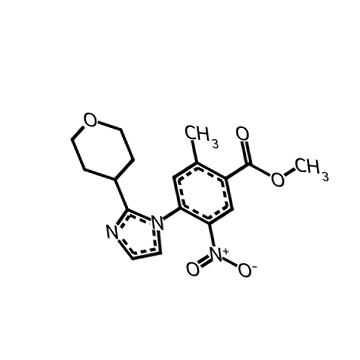 COC(=O)c1cc([N+](=O)[O-])c(-n2ccnc2C2CCOCC2)cc1C